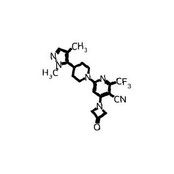 Cc1cnn(C)c1C1CCN(c2cc(N3CC(=O)C3)c(C#N)c(C(F)(F)F)n2)CC1